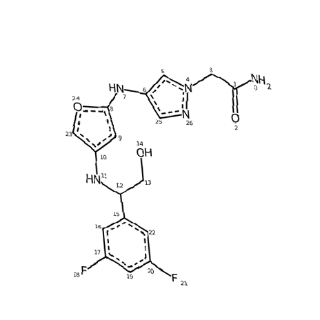 NC(=O)Cn1cc(Nc2cc(NC(CO)c3cc(F)cc(F)c3)co2)cn1